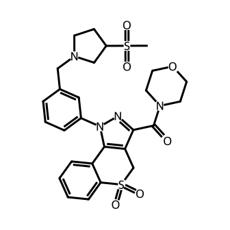 CS(=O)(=O)C1CCN(Cc2cccc(-n3nc(C(=O)N4CCOCC4)c4c3-c3ccccc3S(=O)(=O)C4)c2)C1